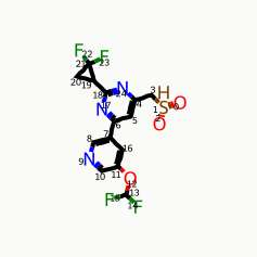 O=[SH](=O)Cc1cc(-c2cncc(OC(F)F)c2)nc(C2CC2(F)F)n1